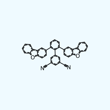 N#Cc1cc(C#N)cc(-c2c(-c3ccc4oc5ccccc5c4c3)cccc2-c2ccc3oc4ccccc4c3c2)c1